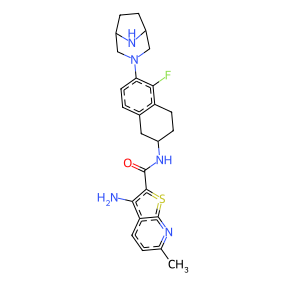 Cc1ccc2c(N)c(C(=O)NC3CCc4c(ccc(N5CC6CCC(C5)N6)c4F)C3)sc2n1